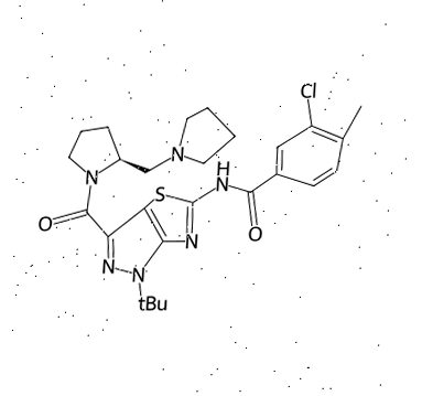 Cc1ccc(C(=O)Nc2nc3c(s2)c(C(=O)N2CCC[C@H]2CN2CCCC2)nn3C(C)(C)C)cc1Cl